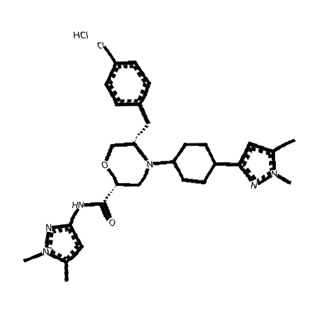 Cc1cc(NC(=O)[C@H]2CN(C3CCC(c4cc(C)n(C)n4)CC3)[C@@H](Cc3ccc(Cl)cc3)CO2)nn1C.Cl